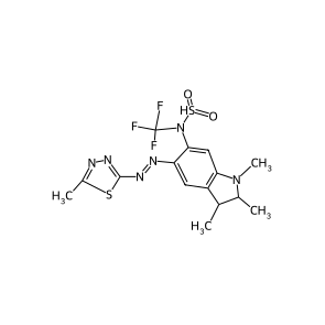 Cc1nnc(N=Nc2cc3c(cc2N([SH](=O)=O)C(F)(F)F)N(C)C(C)C3C)s1